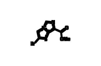 COC(=O)c1ncn2cc(Br)sc12